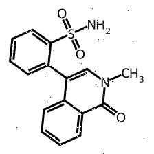 Cn1cc(-c2ccccc2S(N)(=O)=O)c2ccccc2c1=O